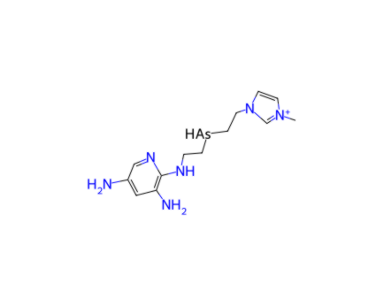 C[n+]1ccn(CC[AsH]CCNc2ncc(N)cc2N)c1